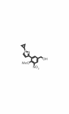 COc1c(-c2ccn(C3CC3)n2)cc(CO)cc1[N+](=O)[O-]